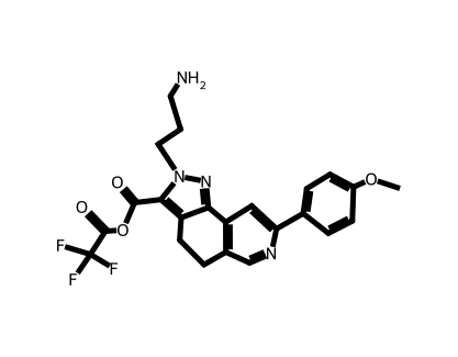 COc1ccc(-c2cc3c(cn2)CCc2c-3nn(CCCN)c2C(=O)OC(=O)C(F)(F)F)cc1